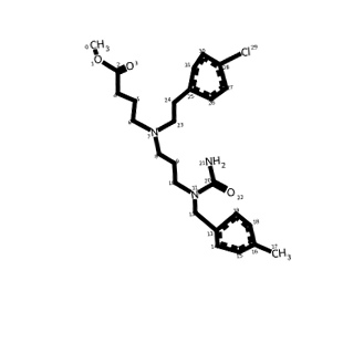 COC(=O)CCCN(CCCN(Cc1ccc(C)cc1)C(N)=O)CCc1ccc(Cl)cc1